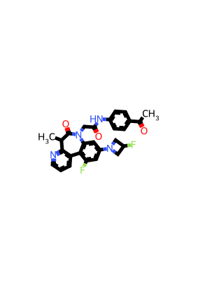 CC(=O)c1ccc(NC(=O)CN2C(=O)C(C)c3ncccc3-c3c(F)cc(N4CC(F)C4)cc32)cc1